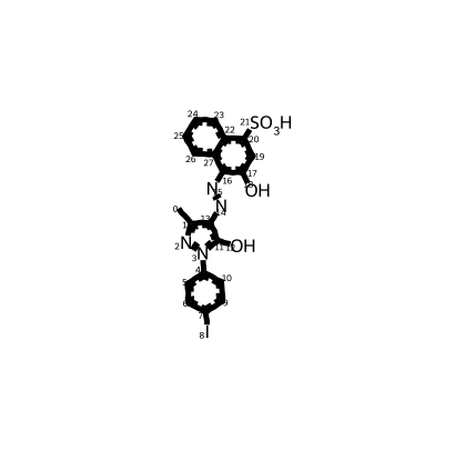 Cc1nn(-c2ccc(I)cc2)c(O)c1/N=N/c1c(O)cc(S(=O)(=O)O)c2ccccc12